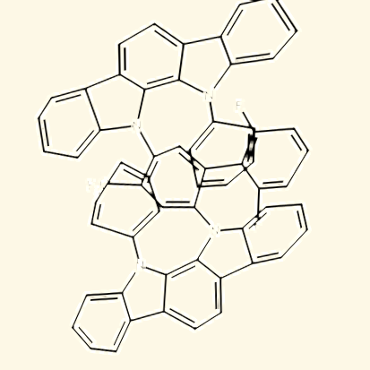 Fc1cccc(F)c1-c1cc(-n2c3ccccc3c3ccc4c5ccccc5n(-c5ccccc5)c4c32)c(C(F)(F)F)cc1-n1c2ccccc2c2ccc3c4ccccc4n(-c4ccccc4)c3c21